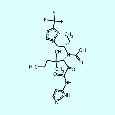 CCCC(C)(C)[C@@H](C(=O)C(=O)Nc1ccn[nH]1)N(C(=O)O)[C@@H](CC)Cn1ccc(C(F)(F)F)n1